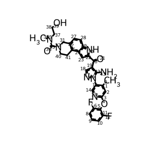 Cc1cc(Oc2c(F)cccc2F)ncc1-n1ncc(C(=O)c2cc3c4c(ccc3[nH]2)CN(C(=O)N(C)CCO)CC4)c1N